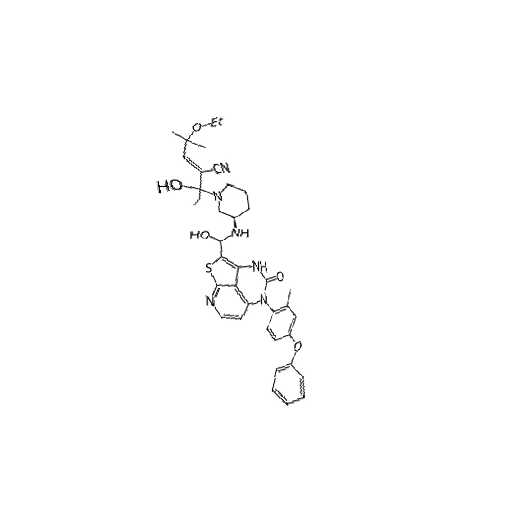 CCOC(C)(C)/C=C(\C#N)C(C)(O)N1CCC[C@@H](NC(O)c2sc3nccc4c3c2NC(=O)N4c2ccc(Oc3ccccc3)cc2C)C1